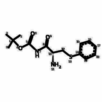 CC(C)(C)OC(=O)NC(=O)[C@@H](N)CSc1ccccc1